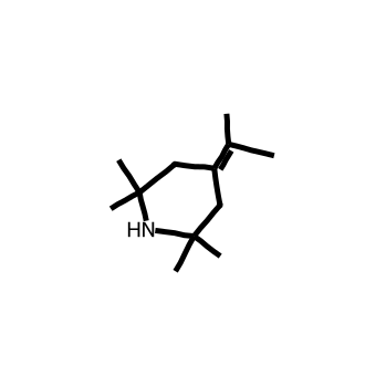 CC(C)=C1CC(C)(C)NC(C)(C)C1